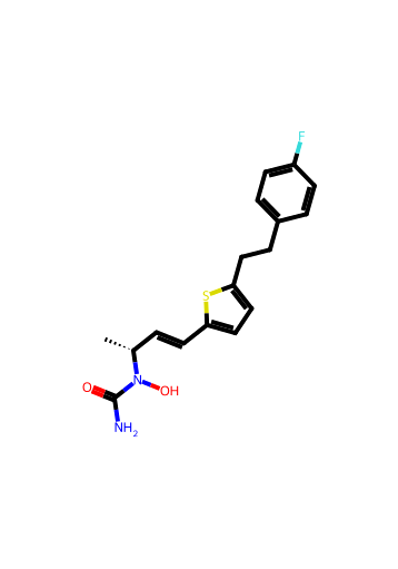 C[C@H](C=Cc1ccc(CCc2ccc(F)cc2)s1)N(O)C(N)=O